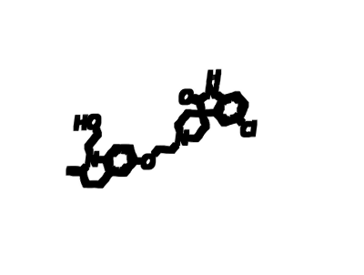 C=C1CCc2cc(OCCN3CCC4(CC3)C(=O)Nc3ccc(Cl)cc34)ccc2N1CCO